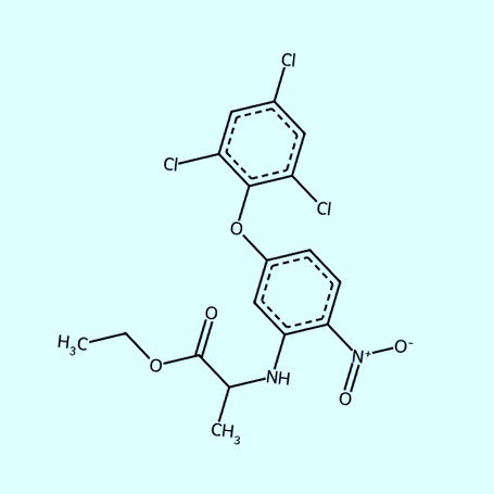 CCOC(=O)C(C)Nc1cc(Oc2c(Cl)cc(Cl)cc2Cl)ccc1[N+](=O)[O-]